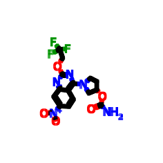 NC(=O)OC1CCN(c2nc(OCC(F)(F)F)nc3cc([N+](=O)[O-])ccc23)C1